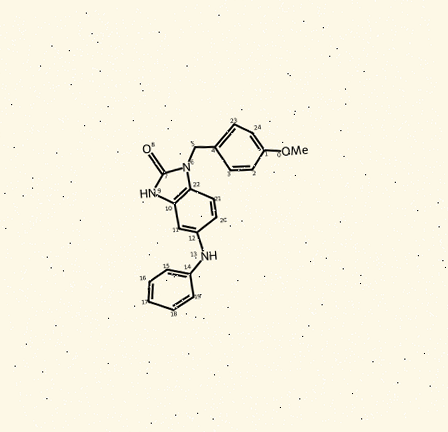 COc1ccc(Cn2c(=O)[nH]c3cc(Nc4ccccc4)ccc32)cc1